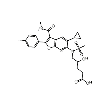 CNC(=O)c1c(-c2ccc(C)cc2)oc2nc(N(CC(O)CCC(=O)O)S(C)(=O)=O)c(C3CC3)cc12